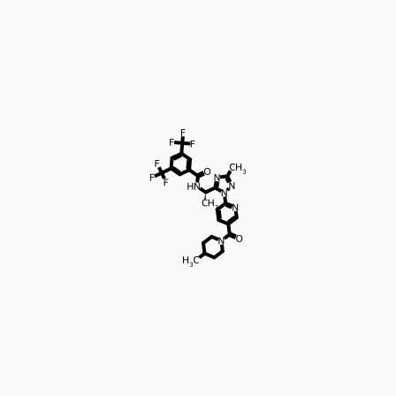 Cc1nc([C@H](C)NC(=O)c2cc(C(F)(F)F)cc(C(F)(F)F)c2)n(-c2ccc(C(=O)N3CCC(C)CC3)cn2)n1